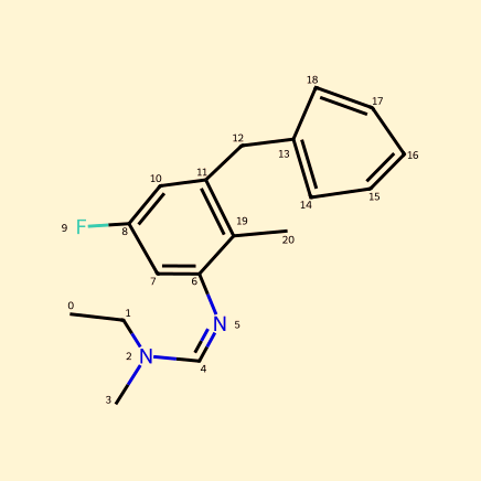 CCN(C)/C=N\c1cc(F)cc(Cc2ccccc2)c1C